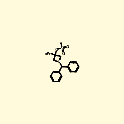 CCCC1(OS(C)(=O)=O)CN(C(c2ccccc2)c2ccccc2)C1